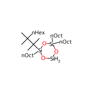 CCCCCCCC[Si]1(CCCCCCCC)O[SiH2]O[Si](CCCCCCCC)(C(C)(C)C(C)(C)CCCCCC)O1